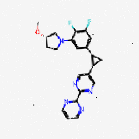 CO[C@H]1CCN(c2cc([C@H]3C[C@H]3c3cnc(-c4ncccn4)nc3)cc(F)c2F)C1